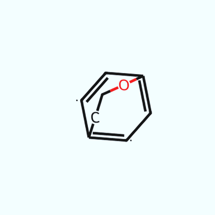 [c]1cc2c[c]c1CCO2